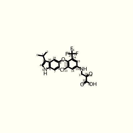 CC(C)c1c[nH]c2ccc(Oc3c(Cl)cc(NCC(=O)C(=O)O)cc3C(F)(F)F)cc12